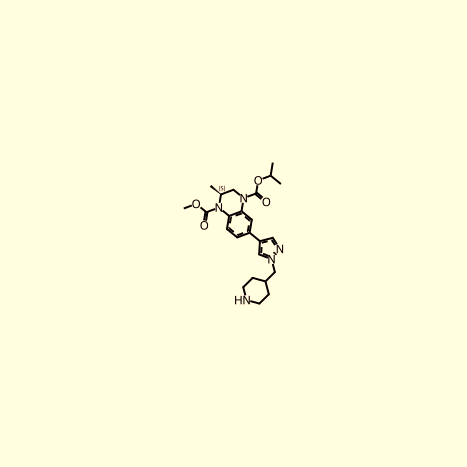 COC(=O)N1c2ccc(-c3cnn(CC4CCNCC4)c3)cc2N(C(=O)OC(C)C)C[C@@H]1C